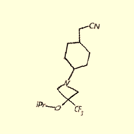 CC(C)OC1(C(F)(F)F)CN(C2CCC(CC#N)CC2)C1